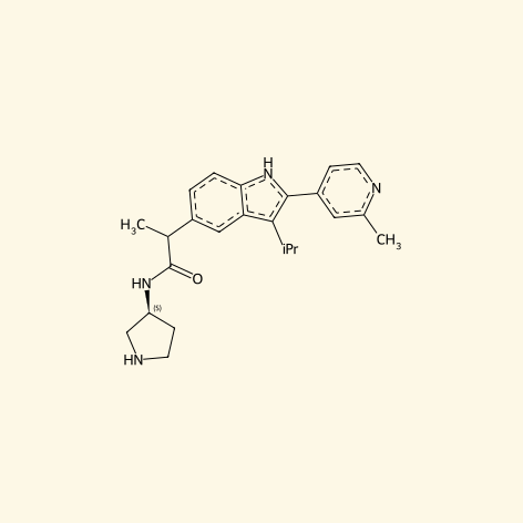 Cc1cc(-c2[nH]c3ccc(C(C)C(=O)N[C@H]4CCNC4)cc3c2C(C)C)ccn1